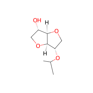 CC(C)O[C@H]1CO[C@H]2[C@@H]1OC[C@@H]2O